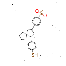 CS(=O)(=O)c1ccc(C2=CC(c3ccc(S)cc3)C3(CCCC3)C2)cc1